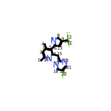 Cc1cc(C)c(C2=NCC(C(F)F)=C2)c(Cc2ncc(F)cn2)n1